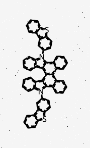 c1ccc2c(c1)sc1ccc(-n3c4ccccc4c4c5c(c6ccccc6c43)c3ccccc3c3c5c4ccccc4n3-c3ccc4sc5ccccc5c4c3)cc12